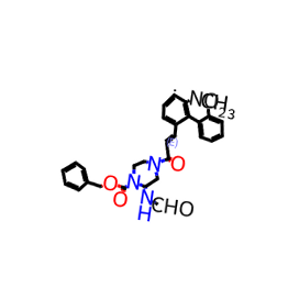 Cc1ccccc1-c1c([N+](=O)[O-])[c]ccc1/C=C/C(=O)N1CCN(C(=O)OCc2ccccc2)C(NC=O)C1